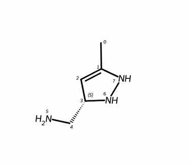 CC1=C[C@@H](CN)NN1